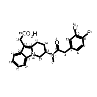 CN(C(=O)Cc1ccc(F)c(Cl)c1)[C@@H]1CCc2c(CC(=O)O)c3ccccc3n2C1